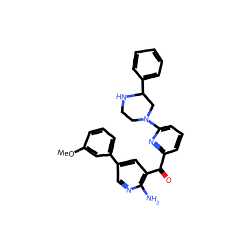 COc1cccc(-c2cnc(N)c(C(=O)c3cccc(N4CCNC(c5ccccc5)C4)n3)c2)c1